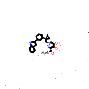 CNC(=O)c1nn(CC2(c3cccc(-c4cnc5ccccc5c4)c3)CC2)cc(O)c1=O